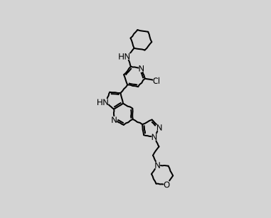 Clc1cc(-c2c[nH]c3ncc(-c4cnn(CCN5CCOCC5)c4)cc23)cc(NC2CCCCC2)n1